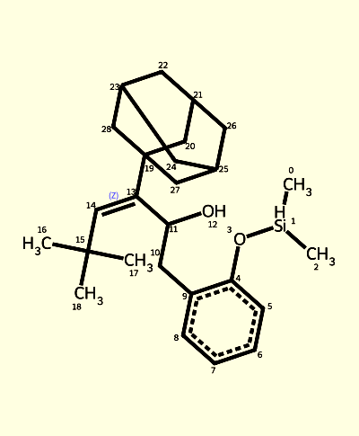 C[SiH](C)Oc1ccccc1CC(O)/C(=C\C(C)(C)C)C12CC3CC(CC(C3)C1)C2